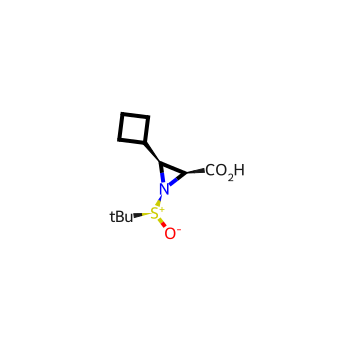 CC(C)(C)[S@+]([O-])[N@]1[C@H](C(=O)O)[C@@H]1C1CCC1